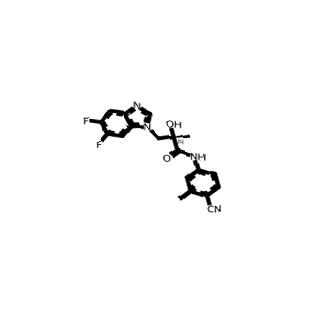 Cc1cc(NC(=O)[C@@](C)(O)Cn2cnc3cc(F)c(F)cc32)ccc1C#N